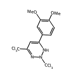 COc1ccc(C2=CC(C(Cl)(Cl)Cl)=NN(C(Cl)(Cl)Cl)N2)cc1OC